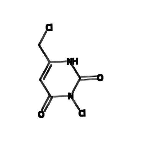 O=c1cc(CCl)[nH]c(=O)n1Cl